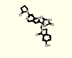 O=C1NC(=O)[C@](CN2Cc3ccc(O)cc3C2=O)(c2cc3cnc(N4CCCC4=O)cc3o2)N1